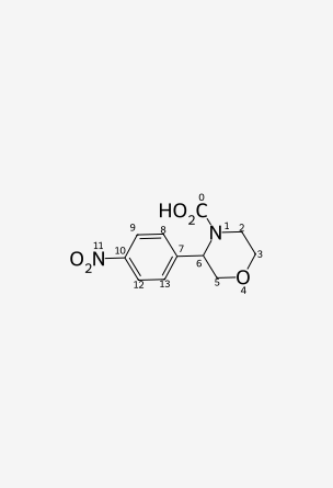 O=C(O)N1CCOCC1c1ccc([N+](=O)[O-])cc1